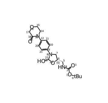 CC(C)(C)OC(=O)NC[C@H]1CN(c2ccc(N3CCOCC3=O)cc2)C(O)O1